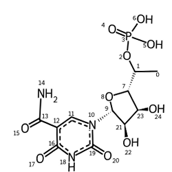 CC(OP(=O)(O)O)[C@H]1O[C@@H](n2cc(C(N)=O)c(=O)[nH]c2=O)[C@H](O)[C@@H]1O